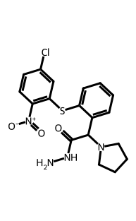 NNC(=O)C(c1ccccc1Sc1cc(Cl)ccc1[N+](=O)[O-])N1CCCC1